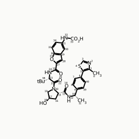 Cc1ncsc1-c1ccc([C@H](C)NC(=O)[C@@H]2C[C@@H](O)CN2C(=O)[C@@H](NC(=O)c2cc3cc(NC(=O)O)ccc3o2)C(C)(C)C)cc1